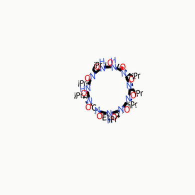 CC[C@H]1NC(=O)[C@@H](CC(C)C)N(C)C(=O)[C@@H](C(C)C)N(C)C(=O)C(CC(C)C)N(C)C(=O)[C@H](CC(C)C)N(C)C(=O)[C@H](C)NC(=O)[C@H](C)NC(=O)C(CC(C)C)N(C)C(=O)[C@@H](C(C)C)NC(=O)[C@@H](CC(C)C)N(C)C(=O)CN(C)C1=O